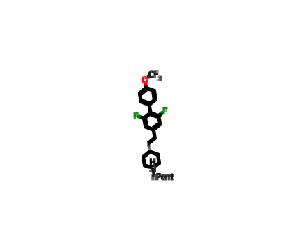 CCCCC[Si@H]1CC[C@H](CCc2cc(F)c(-c3ccc(OC(F)(F)F)cc3)c(F)c2)CC1